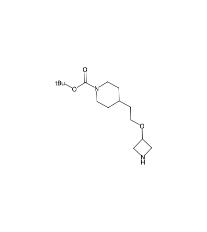 CC(C)(C)OC(=O)N1CCC(CCOC2CNC2)CC1